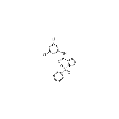 O=C(Nc1cc(Cl)cc(Cl)c1)c1cccn1S(=O)(=O)c1ccccc1